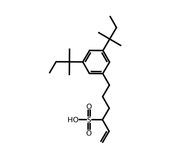 C=CC(CCCc1cc(C(C)(C)CC)cc(C(C)(C)CC)c1)S(=O)(=O)O